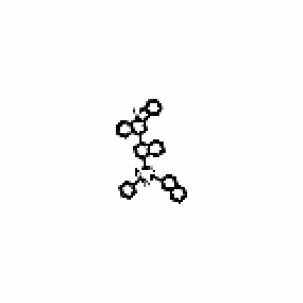 c1ccc(-c2nc(-c3ccc4ccccc4c3)nc(-c3ccc(-c4cc5c6ccccc6oc5c5ccccc45)c4ccccc34)n2)cc1